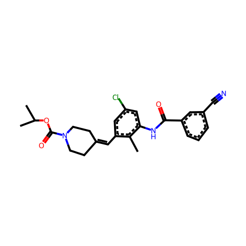 Cc1c(C=C2CCN(C(=O)OC(C)C)CC2)cc(Cl)cc1NC(=O)c1cccc(C#N)c1